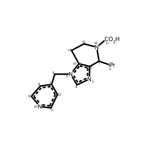 CC(C)C1c2ncn(Cc3ccncc3)c2CCN1C(=O)O